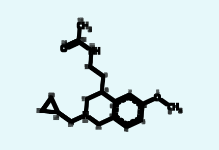 COc1ccc2c(c1)C(CCNC(C)=O)CN(CC1CC1)C2